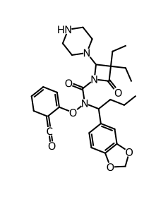 CCCC(c1ccc2c(c1)OCO2)N(OC1=CC=CCC1=C=O)C(=O)N1C(=O)C(CC)(CC)C1N1CCNCC1